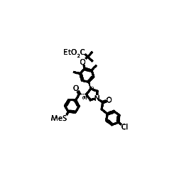 CCOC(=O)C(C)(C)Oc1c(C)cc([C@H]2CN(C(=O)Cc3ccc(Cl)cc3)C[C@@H]2C(=O)c2ccc(SC)cc2)cc1C